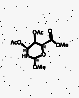 COC(=O)[C@H]1O[C@@H](OC)P[C@@H](OC(C)=O)C1OC(C)=O